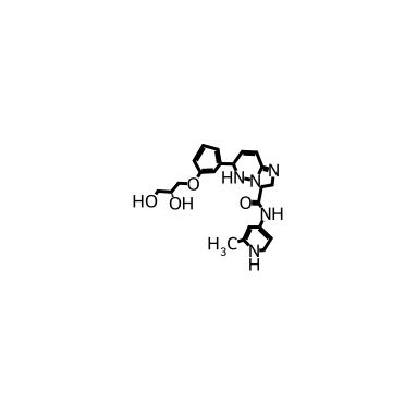 CC1=CC(NC(=O)C2CN=C3C=CC(c4cccc(OC[C@H](O)CO)c4)NN32)=CCN1